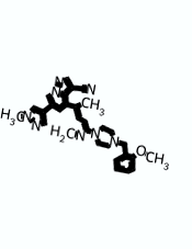 C=N/C(=C\C=C(/C)c1cc(-c2cnn(C)c2)cn2ncc(C#N)c12)N1CCN(Cc2ccccc2OC)CC1